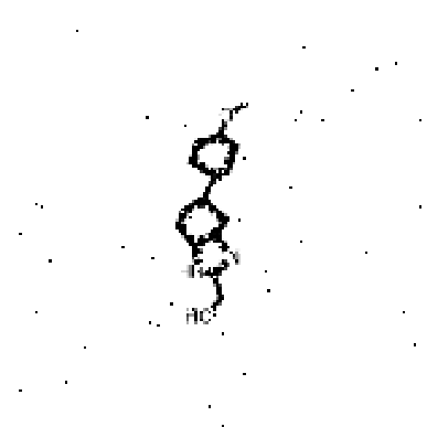 COc1ccc(-c2ccc3[nH]c(CO)nc3c2)cc1